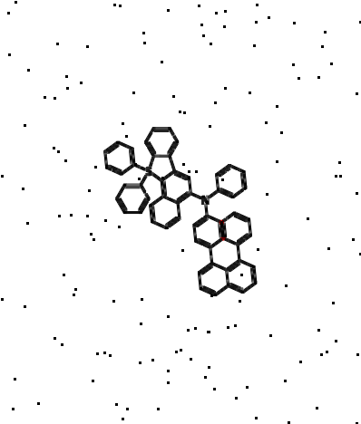 c1ccc(-c2cccc3cccc(-c4ccc(N(c5ccccc5)c5cc6c(c7ccccc57)S(c5ccccc5)(c5ccccc5)c5ccccc5-6)cc4)c23)cc1